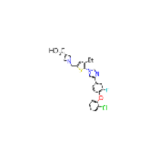 CCc1cc(CN2CC(C(=O)O)C2)sc1-n1cnc(-c2ccc(Oc3ccccc3Cl)c(F)c2)c1